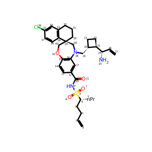 C=CCC[C@@H](CCC)S(=O)(=O)NC(=O)c1ccc2c(c1)N(C[C@@H]1CC[C@H]1[C@@H](N)C=C)C[C@@]1(CCCc3cc(Cl)ccc31)CO2